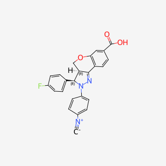 [C-]#[N+]c1ccc(N2N=C3c4ccc(C(=O)O)cc4OC[C@@H]3[C@@H]2c2ccc(F)cc2)cc1